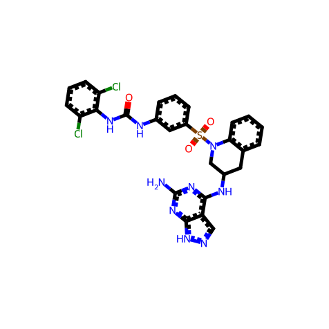 Nc1nc(NC2Cc3ccccc3N(S(=O)(=O)c3cccc(NC(=O)Nc4c(Cl)cccc4Cl)c3)C2)c2cn[nH]c2n1